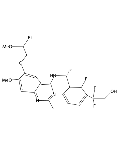 CCC(COc1cc2c(N[C@H](C)c3cccc(C(F)(F)CO)c3F)nc(C)nc2cc1OC)OC